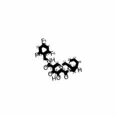 O=C(NCc1c(F)cc(F)cc1F)c1cn2c(c(O)c1=O)C(=O)N1C[C@H]3CCC[C@@]1(C3)C2